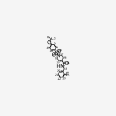 CC(C)Oc1ccc(S(=O)(=O)N2CCC(C(=O)NCc3ccccc3F)CC2)cc1